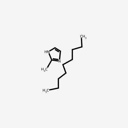 CCCCCCCCC.Cc1ncc[nH]1